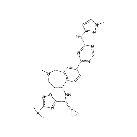 CN1CCC(NC(=C2CC2)c2nc(C(C)(C)C)no2)c2ccc(-c3ncnc(Nc4ccn(C)n4)n3)cc2C1